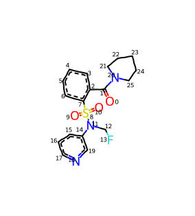 O=C(c1ccccc1S(=O)(=O)N(CF)c1cccnc1)N1CCCCC1